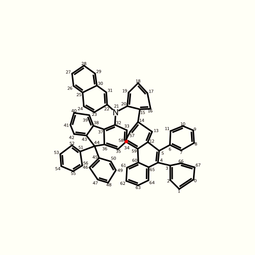 c1ccc(-c2c(-c3ccccc3)c3cc(-c4ccccc4N(c4ccc5ccccc5c4)c4cccc5c4-c4ccccc4C5(c4ccccc4)c4ccccc4)ccc3c3ccccc23)cc1